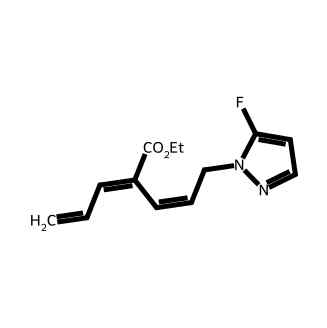 C=C/C=C(\C=C/Cn1nccc1F)C(=O)OCC